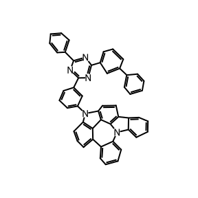 c1ccc(-c2cccc(-c3nc(-c4ccccc4)nc(-c4cccc(-n5c6cccc7c8ccccc8n8c9ccccc9c9ccc5c(c76)c98)c4)n3)c2)cc1